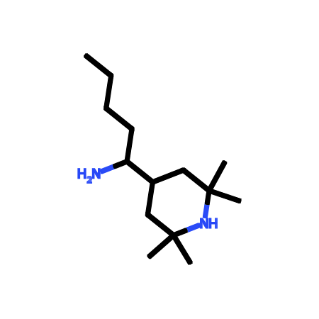 CCCCC(N)C1CC(C)(C)NC(C)(C)C1